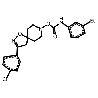 CCc1cccc(NC(=O)ON2CCC3(CC2)CC(c2ccc(Cl)cc2)=NO3)c1